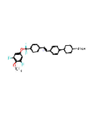 CCCCCCC1CCC(C2CCC(/C=C/C3CCC(C(F)(F)Oc4cc(F)c(OC(F)(F)F)c(F)c4)CC3)CC2)CC1